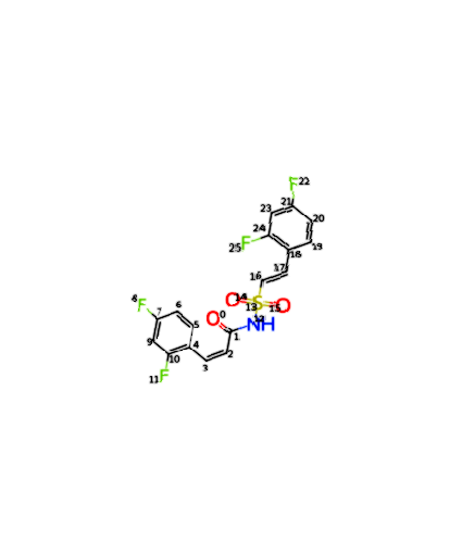 O=C(/C=C\c1ccc(F)cc1F)NS(=O)(=O)/C=C/c1ccc(F)cc1F